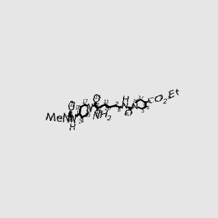 CCOC(=O)C1CCN(C(=O)NCCCCC(N)C(=O)N2CCC(NC(=O)NC)CC2)CC1